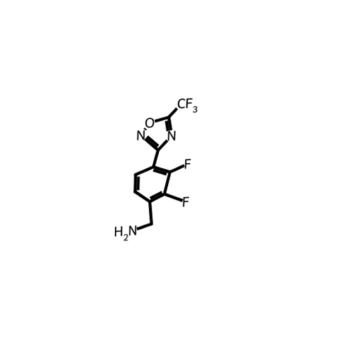 NCc1ccc(-c2noc(C(F)(F)F)n2)c(F)c1F